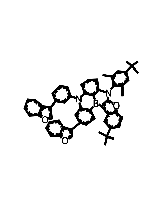 Cc1cc(C(C)(C)C)cc(C)c1N1c2cccc3c2B(c2ccc(-c4coc5ccccc45)cc2N3c2cccc(-c3coc4ccccc34)c2)c2c1oc1ccc(C(C)(C)C)cc21